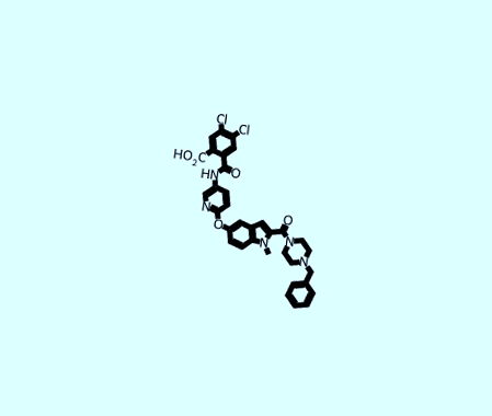 Cn1c(C(=O)N2CCN(Cc3ccccc3)CC2)cc2cc(Oc3ccc(NC(=O)c4cc(Cl)c(Cl)cc4C(=O)O)cn3)ccc21